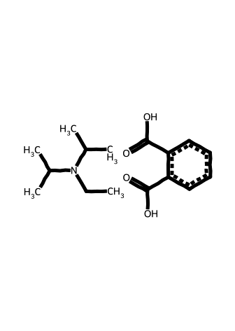 CCN(C(C)C)C(C)C.O=C(O)c1ccccc1C(=O)O